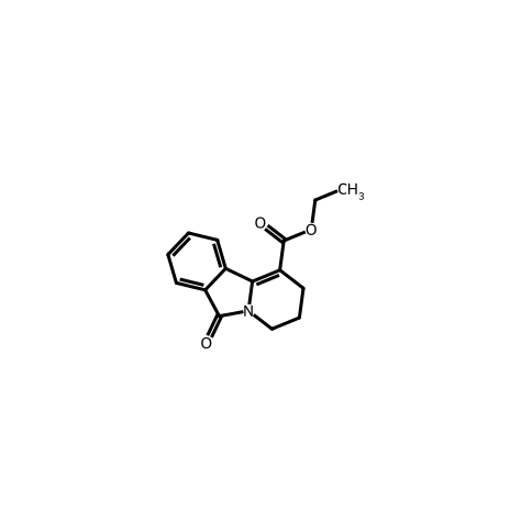 CCOC(=O)C1=C2c3ccccc3C(=O)N2CCC1